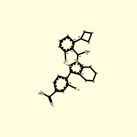 O=C(O)c1ccc(-c2nn(C(O)c3c(Cl)cccc3C3CCC3)c3c2CCCC3)c(F)c1